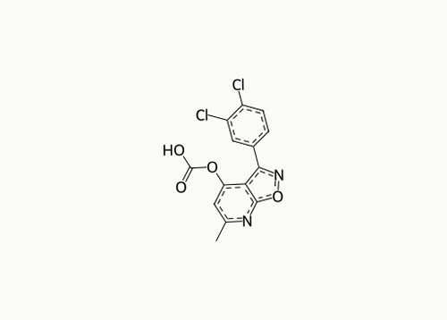 Cc1cc(OC(=O)O)c2c(-c3ccc(Cl)c(Cl)c3)noc2n1